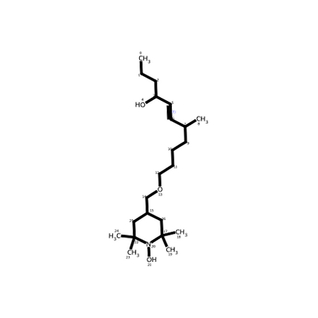 CCCC(O)/C=C/C(C)CCCCOCC1CC(C)(C)N(O)C(C)(C)C1